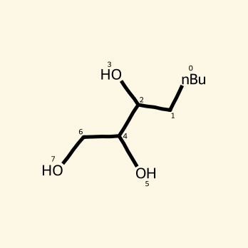 CCCCCC(O)C(O)CO